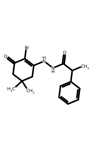 CC(C(=O)NNC1=C(Br)C(=O)CC(C)(C)C1)c1ccccc1